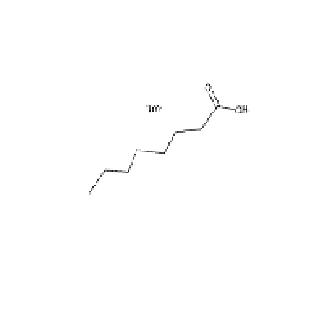 CCCCCCCC(=O)O.[Tm]